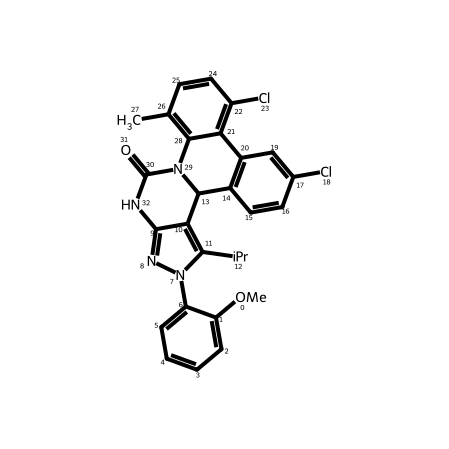 COc1ccccc1-n1nc2c(c1C(C)C)C1c3ccc(Cl)cc3-c3c(Cl)ccc(C)c3N1C(=O)N2